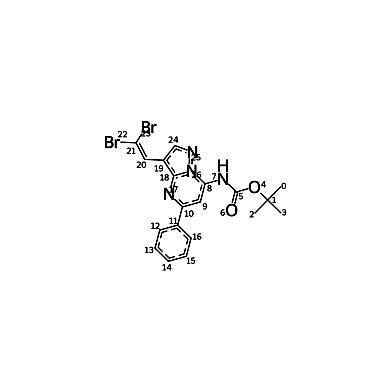 CC(C)(C)OC(=O)Nc1cc(-c2ccccc2)nc2c(C=C(Br)Br)cnn12